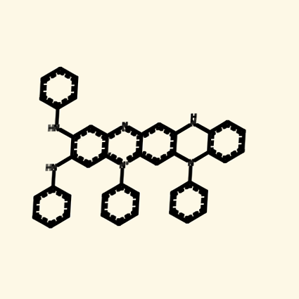 c1ccc(Nc2cc3nc4cc5c(cc4[n+](-c4ccccc4)c3cc2Nc2ccccc2)N(c2ccccc2)c2ccccc2N5)cc1